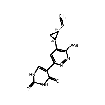 C=C[C@H]1C[C@@H]1c1cc(-c2c[nH]c(=O)[nH]c2=O)nnc1OC